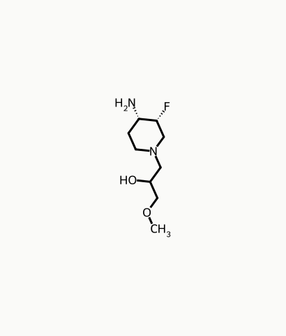 COCC(O)CN1CC[C@H](N)[C@H](F)C1